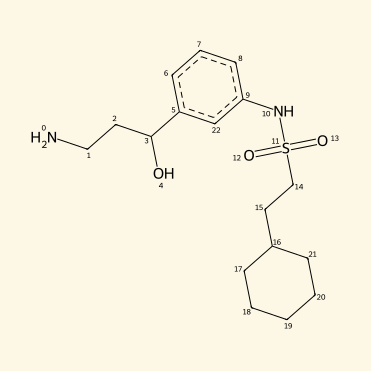 NCCC(O)c1cccc(NS(=O)(=O)CCC2CCCCC2)c1